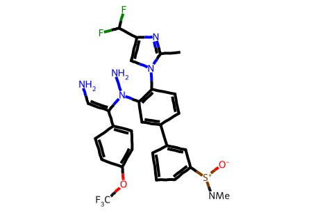 CN[S+]([O-])c1cccc(-c2ccc(-n3cc(C(F)F)nc3C)c(N(N)/C(=C\N)c3ccc(OC(F)(F)F)cc3)c2)c1